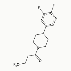 O=C(CCC(F)(F)F)N1CCC(c2cnc(F)c(F)c2)CC1